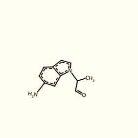 CC(C=O)n1ccc2ccc(N)cc21